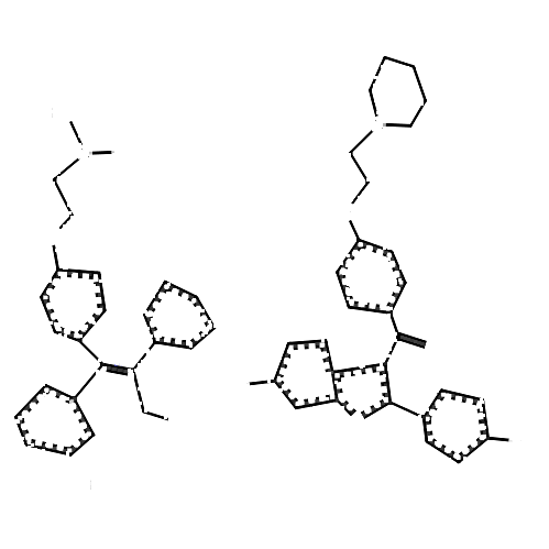 CC/C(=C(\c1ccccc1)c1ccc(OCCN(C)C)cc1)c1ccccc1.Cl.O=C(c1ccc(OCCN2CCCCC2)cc1)c1c(-c2ccc(O)cc2)sc2cc(O)ccc12